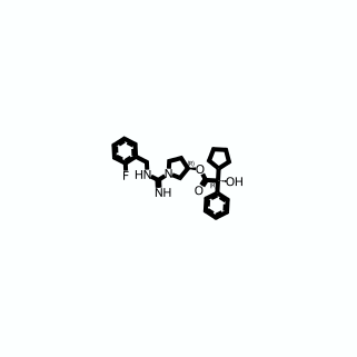 N=C(NCc1ccccc1F)N1CC[C@@H](OC(=O)[C@](O)(c2ccccc2)C2CCCC2)C1